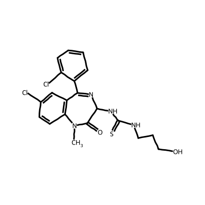 CN1C(=O)C(NC(=S)NCCCO)N=C(c2ccccc2Cl)c2cc(Cl)ccc21